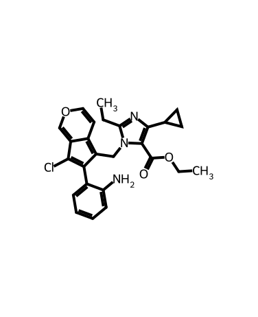 CCOC(=O)c1c(C2CC2)nc(CC)n1Cc1c2ccocc-2c(Cl)c1-c1ccccc1N